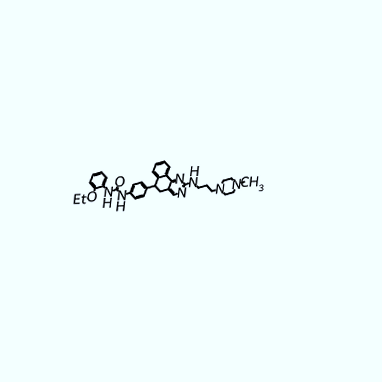 CCOc1ccccc1NC(=O)Nc1ccc(C2Cc3cnc(NCCCN4CCN(C)CC4)nc3-c3ccccc32)cc1